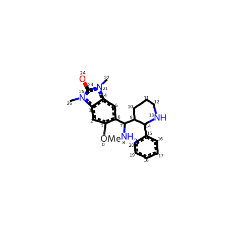 COc1cc2c(cc1C(N)C1CCCNC1c1ccccc1)n(C)c(=O)n2C